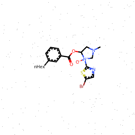 CCCCCCc1cccc(C(=O)OC2CN(C)C[N+]2([O-])c2ncc(Br)s2)c1